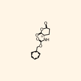 O=C1CC[C@H](NC(=O)OCc2ccccc2)C(=O)O1